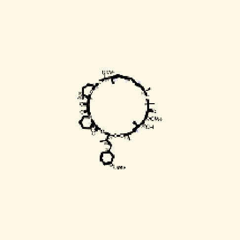 CO[C@H]1CCC[C@@H](C[C@@H](C)[C@@H]2CC[C@H](C)/C=C(\C)[C@@H](O)[C@@H](OC)C(=O)[C@H](C)C[C@H](C)/C=C/C=C/C=C(\C)[C@@H](OC)C[C@@H]3CC[C@@H](C)[C@@](O)(O3)C(=O)C(=O)N3CCCC[C@H]3C(=O)O2)C1